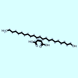 CCCCCCCCCCCCCCCCCCCCCCO.O=C(O)/C=C\C(=O)O